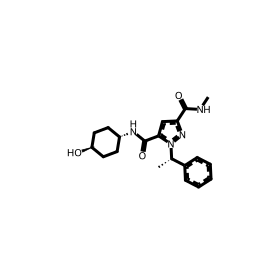 CNC(=O)c1cc(C(=O)N[C@H]2CC[C@H](O)CC2)n([C@@H](C)c2ccccc2)n1